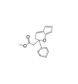 COC(=O)CC1(c2ccccc2)CC=C2C=CC=C2O1